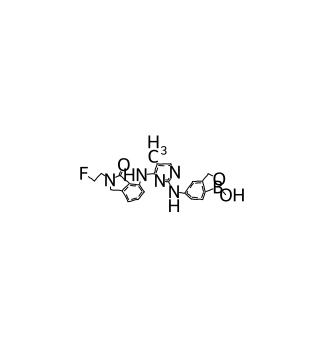 Cc1cnc(Nc2ccc3c(c2)COB3O)nc1Nc1cccc2c1C(=O)N(CCF)C2